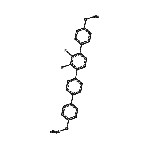 CCCCCCCOc1ccc(-c2ccc(-c3ccc(-c4ccc(OCCCC)cc4)c(F)c3F)cc2)cc1